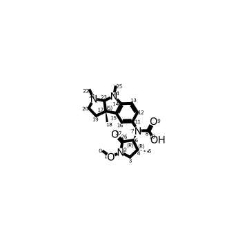 CON1C[C@@H](C)[C@@H](N(C(=O)O)c2ccc3c(c2)[C@]2(C)CCN(C)C2N3C)C1=O